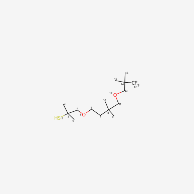 CC(C)(S)COCCC(C)(C)COCC(C)(C)C(F)(F)F